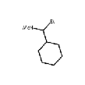 CCC(NC)C1CCCCC1